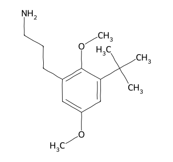 COc1cc(CCCN)c(OC)c(C(C)(C)C)c1